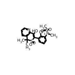 CN(c1cccc(C2=C(O)c3ncccc3C(C)(C)S2(=O)=O)c1C(F)(F)F)S(C)(=O)=O